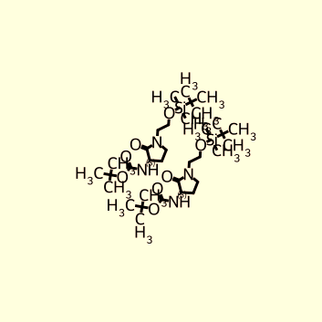 CC(C)(C)OC(=O)N[C@H]1CCN(CCO[Si](C)(C)C(C)(C)C)C1=O.CC(C)(C)OC(=O)N[C@H]1CCN(CCO[Si](C)(C)C(C)(C)C)C1=O